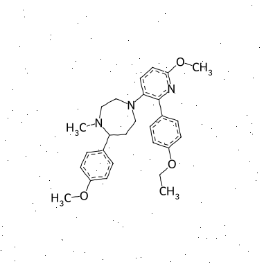 CCOc1ccc(-c2nc(OC)ccc2N2CCC(c3ccc(OC)cc3)N(C)CC2)cc1